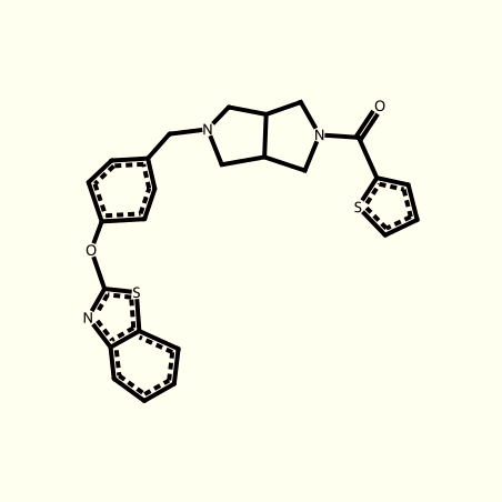 O=C(c1cccs1)N1CC2CN(Cc3ccc(Oc4nc5ccccc5s4)cc3)CC2C1